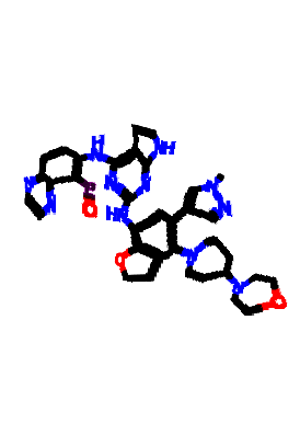 Cn1cc(-c2cc(Nc3nc(Nc4ccc5nccnc5c4P=O)c4cc[nH]c4n3)c3c(c2N2CCC(N4CCOCC4)CC2)CCO3)cn1